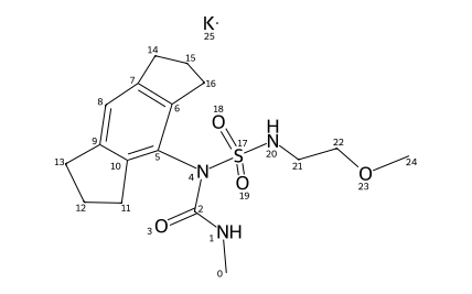 CNC(=O)N(c1c2c(cc3c1CCC3)CCC2)S(=O)(=O)NCCOC.[K]